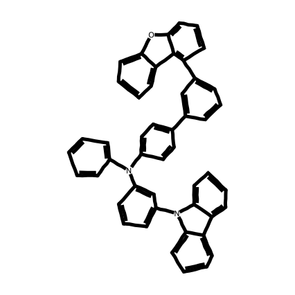 c1ccc(N(c2ccc(-c3cccc(-c4cccc5oc6ccccc6c45)c3)cc2)c2cccc(-n3c4ccccc4c4ccccc43)c2)cc1